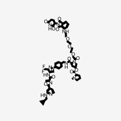 CN1CCC[C@H]1C(=O)O[C@@H]1C[C@@H](C(=O)NCc2ccc(-n3cc(NC(=O)c4coc(-c5ccnc(NCC6CC6)c5)n4)c(C(F)F)n3)cc2)N(C(=O)COCCOCCOCCNc2cccc3c2C(=O)N(C2CCC(=O)NC2=O)C3=O)C1